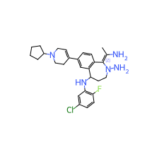 C/C(N)=C1\c2ccc(C3=CCN(C4CCCC4)CC3)cc2C(Nc2cc(Cl)ccc2F)CCN1N